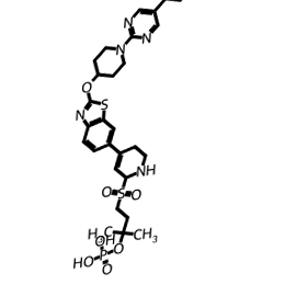 CCCc1cnc(N2CCC(Oc3nc4ccc(C5=CC(S(=O)(=O)CCC(C)(C)OP(=O)(O)O)NCC5)cc4s3)CC2)nc1